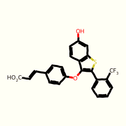 O=C(O)C=Cc1ccc(Oc2c(-c3ccccc3C(F)(F)F)sc3cc(O)ccc23)cc1